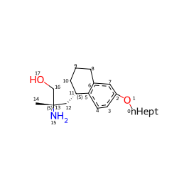 CCCCCCCOc1ccc2c(c1)CCC[C@H]2C[C@](C)(N)CO